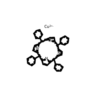 C1=Cc2nc1c(-c1ccccc1)c1ccc([n-]1)c(-c1ccccc1)c1nc(c(-c3ccccc3)c3ccc([n-]3)c2-c2ccccc2)C=C1.[Cu+2]